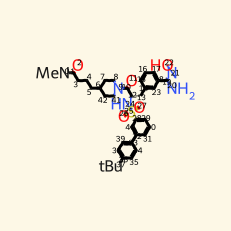 CNC(=O)CCCC1CCN(C(=O)[C@H](Cc2cccc(/C(N)=N\O)c2)NS(=O)(=O)c2cccc(-c3ccc(C(C)(C)C)cc3)c2)CC1